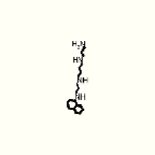 NCCCNCCCCNCCCNc1cccc2ccccc12